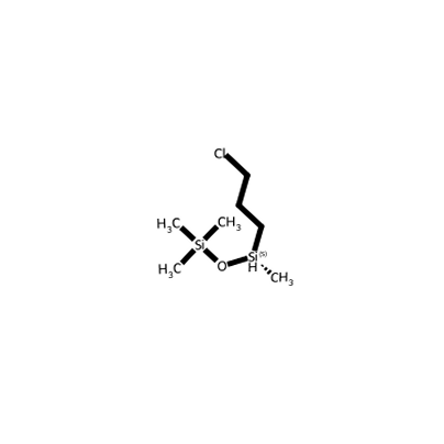 C[Si@@H](CCCCl)O[Si](C)(C)C